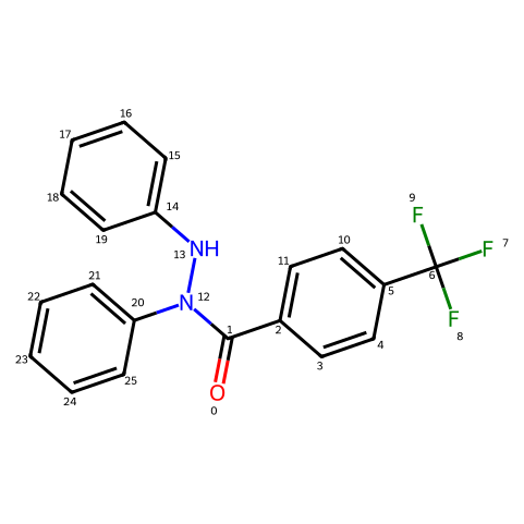 O=C(c1ccc(C(F)(F)F)cc1)N(Nc1ccccc1)c1ccccc1